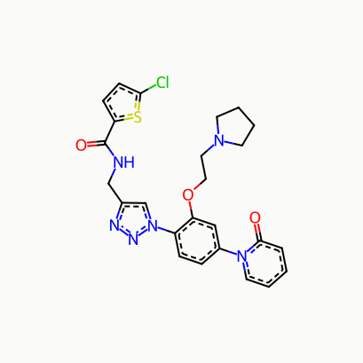 O=C(NCc1cn(-c2ccc(-n3ccccc3=O)cc2OCCN2CCCC2)nn1)c1ccc(Cl)s1